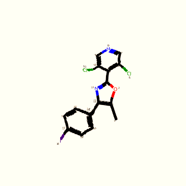 CC1OC(c2c(Cl)cncc2Cl)=NC1c1ccc(I)cc1